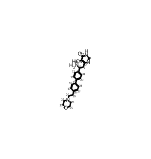 NC(Cc1nc[nH]c(=O)c1O)c1ccc(-c2ccc(CCN3CCOCC3)cc2)cc1